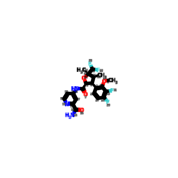 COc1c([C@H]2[C@@H](C(=O)Nc3ccnc(C(N)=O)c3)O[C@@](C)(C(F)F)[C@H]2C)ccc(F)c1F